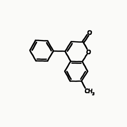 Cc1ccc2c(-c3ccccc3)cc(=O)oc2c1